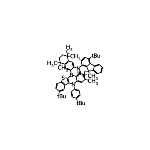 Cc1cc2c3c(c1)N(c1ccc(C(C)(C)C)cc1)c1c(sc4ccc(C(C)(C)C)cc14)B3c1cc3c(cc1N2c1ccc(C(C)(C)C)c2c1C(C)(C)c1ccccc1-2)C(C)(C)CCC3(C)C